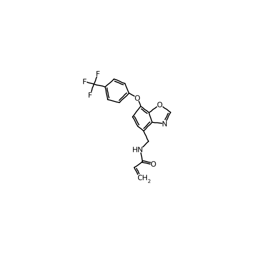 C=CC(=O)NCc1ccc(Oc2ccc(C(F)(F)F)cc2)c2ocnc12